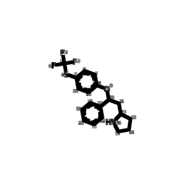 FC(F)(F)Sc1ccc(OC(CC2CCCN2)c2ccccc2)cc1